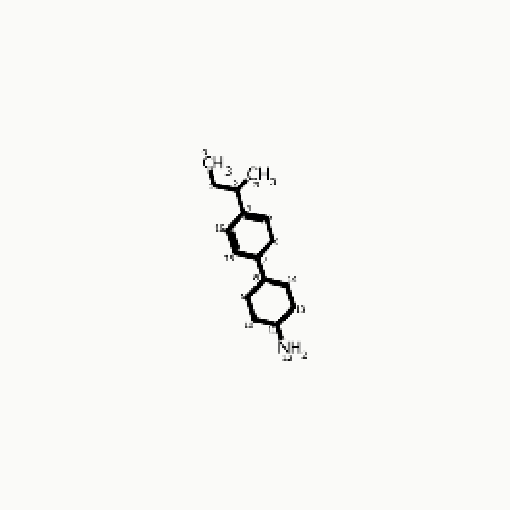 CCC(C)C1=CCC(C2CCC(N)CC2)C=C1